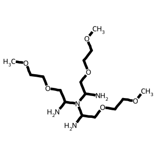 COCCOCC(N)N(C(N)COCCOC)C(N)COCCOC